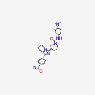 CN(C)C(=O)c1ccc(-c2nc([C@@H]3CCCN(C(=O)Nc4ccc(N(C)C)cc4)C3)n3ccccc23)cc1